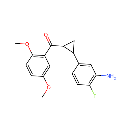 COc1ccc(OC)c(C(=O)C2CC2c2ccc(F)c(N)c2)c1